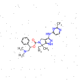 CN(C)CC(OC(=O)N1Cc2c(Nc3ccnc(C(F)(F)F)n3)n[nH]c2C1(C)C)c1ccccc1